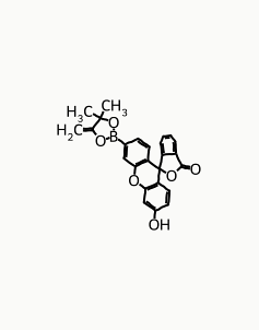 C=C1OB(c2ccc3c(c2)Oc2cc(O)ccc2C32OC(=O)c3ccccc32)OC1(C)C